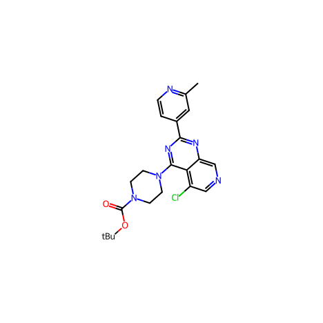 Cc1cc(-c2nc(N3CCN(C(=O)OC(C)(C)C)CC3)c3c(Cl)cncc3n2)ccn1